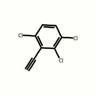 [C]#Cc1c(Cl)ccc(Cl)c1Cl